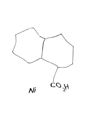 O=C(O)C1CCCC2CCCCC21.[Ni]